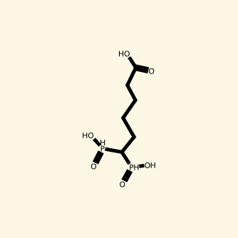 O=C(O)CCCCC([PH](=O)O)[PH](=O)O